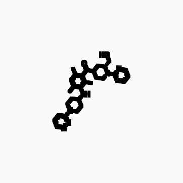 Cc1cc(C)c(C(=O)C2CCN(c3ccccn3)[C@H](CO)C2)c(C)c1NC1CCN(c2cccnn2)CC1